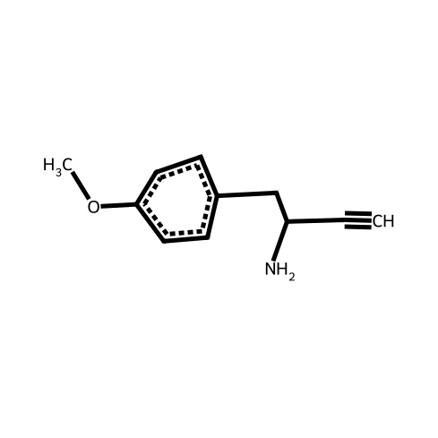 C#CC(N)Cc1ccc(OC)cc1